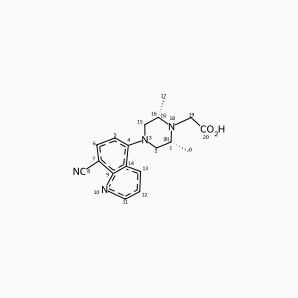 C[C@@H]1CN(c2ccc(C#N)c3ncccc23)C[C@H](C)N1CC(=O)O